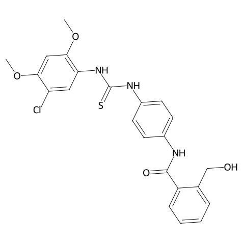 COc1cc(OC)c(NC(=S)Nc2ccc(NC(=O)c3ccccc3CO)cc2)cc1Cl